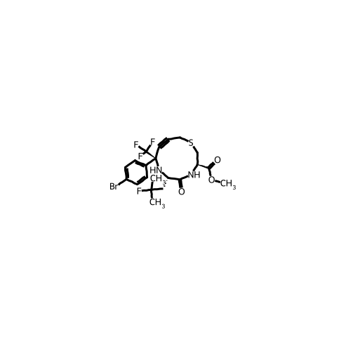 COC(=O)[C@@H]1CSCC#C[C@](c2ccc(Br)cc2)(C(F)(F)F)N[C@@H](CC(C)(C)F)C(=O)N1